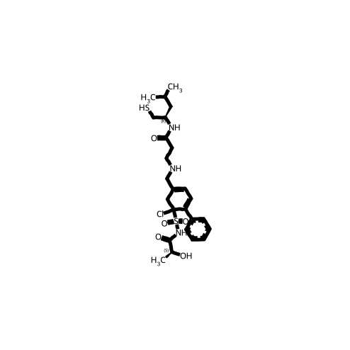 CC(C)C[C@H](CS)NC(=O)CCNCC1=CC=C(c2ccccc2)C(Cl)(S(=O)(=O)NC(=O)[C@H](C)O)C1